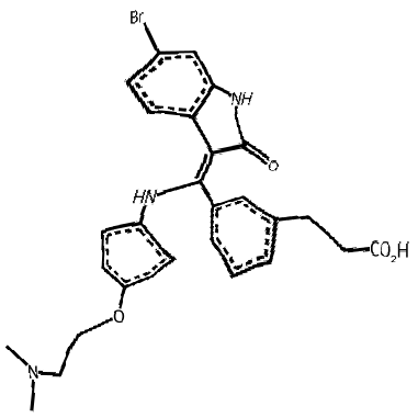 CN(C)CCOc1ccc(NC(=C2C(=O)Nc3cc(Br)ccc32)c2cccc(CCC(=O)O)c2)cc1